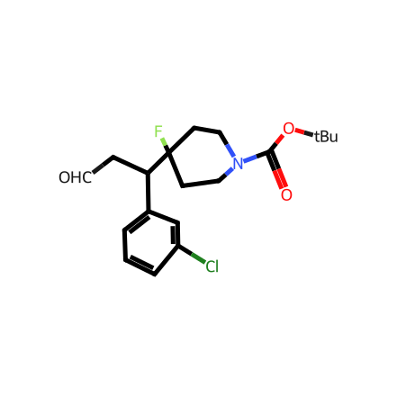 CC(C)(C)OC(=O)N1CCC(F)(C(CC=O)c2cccc(Cl)c2)CC1